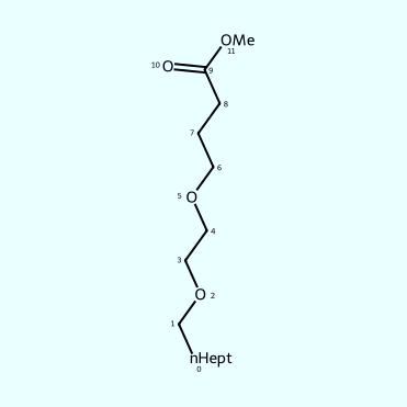 CCCCCCCCOCCOCCCC(=O)OC